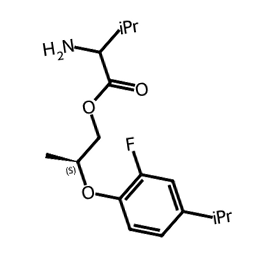 CC(C)c1ccc(O[C@@H](C)COC(=O)C(N)C(C)C)c(F)c1